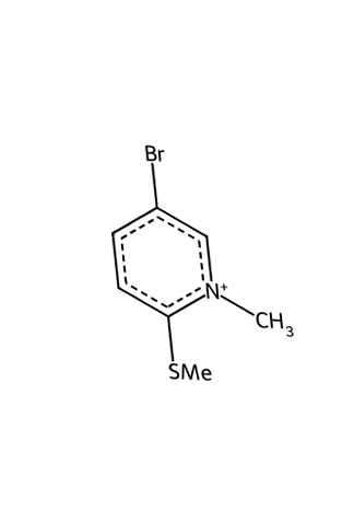 CSc1ccc(Br)c[n+]1C